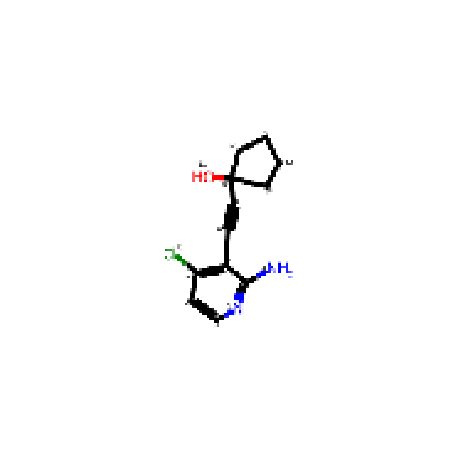 Nc1nccc(Cl)c1C#CC1(O)CCCC1